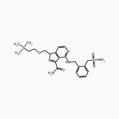 C[Si](C)(C)CCOCn1nc(C(N)=O)c2c(NCc3ccccc3CS(N)(=O)=O)nccc21